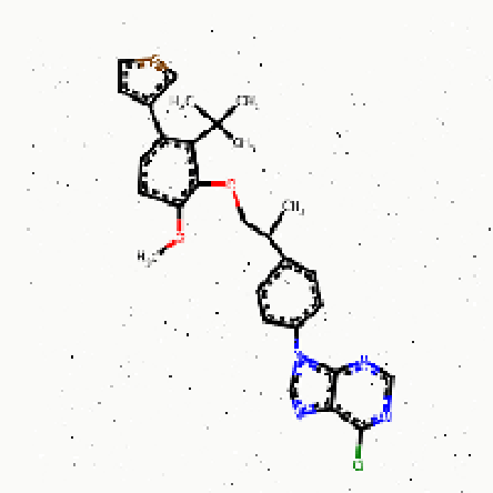 COc1ccc(-c2ccsc2)c(C(C)(C)C)c1OCC(C)c1ccc(-n2cnc3c(Cl)ncnc32)cc1